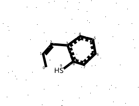 C/C=C\c1ccccc1S